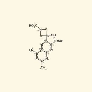 COc1cc2nc(C)cc(Cl)c2cc1C1(O)CN(C(=O)O)C1